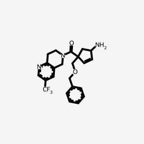 NC1C=CC(COCc2ccccc2)(C(=O)N2CCc3ncc(C(F)(F)F)cc3C2)C1